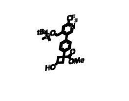 COC(=O)C1(c2ccc(-c3cnc(C(F)(F)F)cc3CO[Si](C)(C)C(C)(C)C)cc2)CC(O)C1